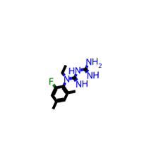 CCN(C(=N)NC(=N)N)c1c(C)cc(C)cc1F